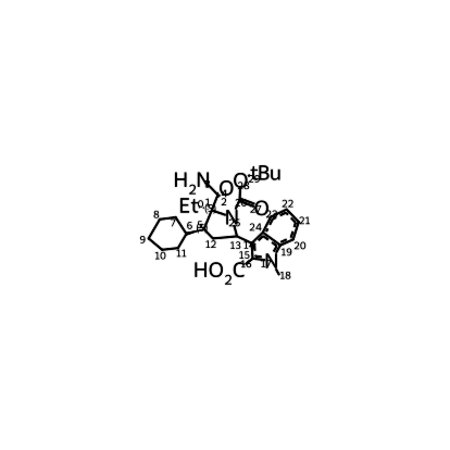 CC[C@@]1(C(N)=O)[C@H](C2CCCCC2)CC(c2c(C(=O)O)n(C)c3ccccc23)N1C(=O)OC(C)(C)C